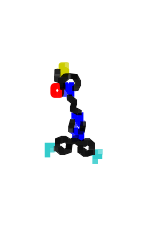 O=C1c2ccsc2CCCN1CCCCN1CCN(C(c2ccc(F)cc2)c2ccc(F)cc2)CC1